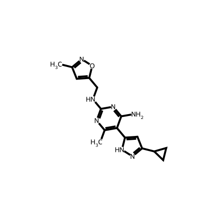 Cc1cc(CNc2nc(C)c(-c3cc(C4CC4)n[nH]3)c(N)n2)on1